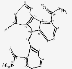 NC(=O)c1ccccc1Cn1c2cccc(C(N)=O)c2c2[c]ccc(F)c21